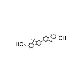 CC1(C)c2cc(CO)ccc2-c2ccc(-c3ccc4c(c3)C(C)(C)c3cc(CCO)ccc3-4)cc21